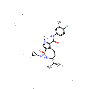 C=C(C)[C@H]1C=Cc2c(cn(C)c2C(=O)Nc2ccc(F)c(C#N)c2)S(=O)(=NC2CC2)N1